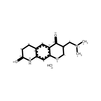 CN(C)CC1COc2cc3c(cc2C1=O)CCC(=O)N3.Cl